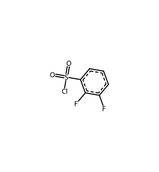 O=S(=O)(Cl)c1cccc(F)c1F